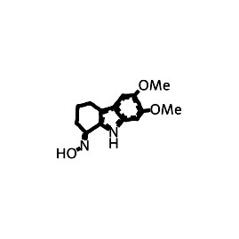 COc1cc2[nH]c3c(c2cc1OC)CCCC3=NO